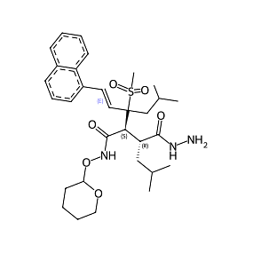 CC(C)C[C@@H](C(=O)NN)[C@@H](C(=O)NOC1CCCCO1)C(/C=C/c1cccc2ccccc12)(CC(C)C)S(C)(=O)=O